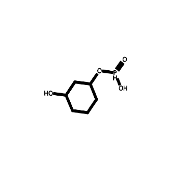 O=[PH](O)OC1CCCC(O)C1